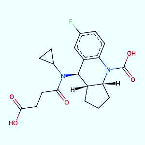 O=C(O)CCC(=O)N(C1CC1)[C@H]1c2cc(F)ccc2N(C(=O)O)[C@@H]2CCC[C@@H]21